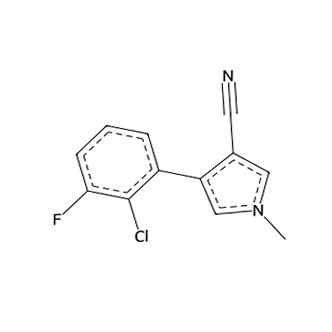 Cn1cc(C#N)c(-c2cccc(F)c2Cl)c1